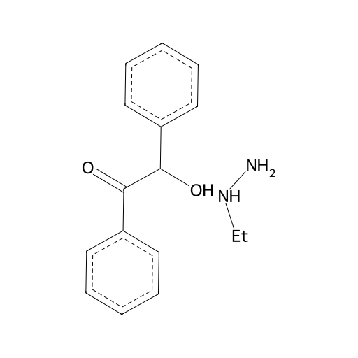 CCNN.O=C(c1ccccc1)C(O)c1ccccc1